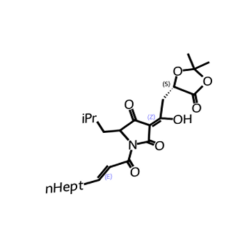 CCCCCCC/C=C/C(=O)N1C(=O)/C(=C(\O)C[C@@H]2OC(C)(C)OC2=O)C(=O)C1CC(C)C